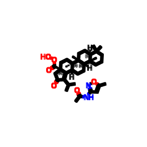 CC(=O)Nc1cc(C)on1.CC(C)C1=C2[C@H]3CC[C@@H]4[C@@]5(C)CCCC(C)(C)[C@@H]5CC[C@@]4(C)[C@]3(C)CC[C@@]2(C(=O)OO)CC1=O